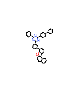 c1ccc(-c2ccc(-c3nc(-c4ccccc4)nc(-c4cccc(-c5cccc6c5oc5ccc7ccccc7c56)c4)n3)cc2)cc1